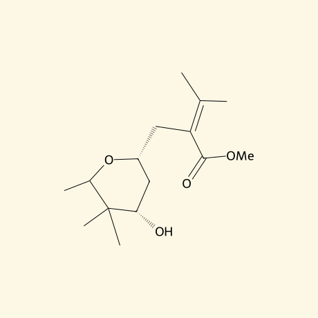 COC(=O)C(C[C@@H]1C[C@H](O)C(C)(C)C(C)O1)=C(C)C